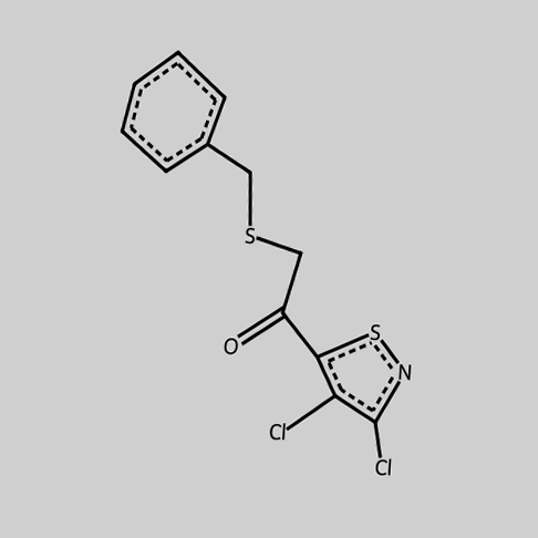 O=C(CSCc1ccccc1)c1snc(Cl)c1Cl